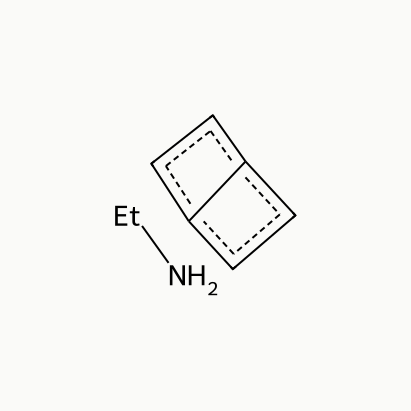 CCN.c1cc2ccc1-2